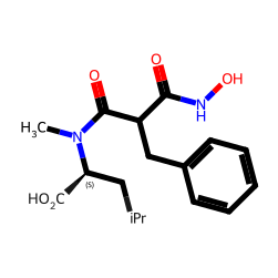 CC(C)C[C@@H](C(=O)O)N(C)C(=O)C(Cc1ccccc1)C(=O)NO